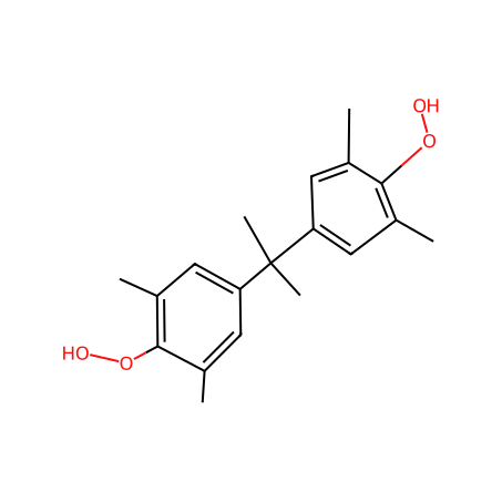 Cc1cc(C(C)(C)c2cc(C)c(OO)c(C)c2)cc(C)c1OO